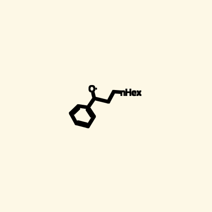 CCCCCCCCC([O])c1ccccc1